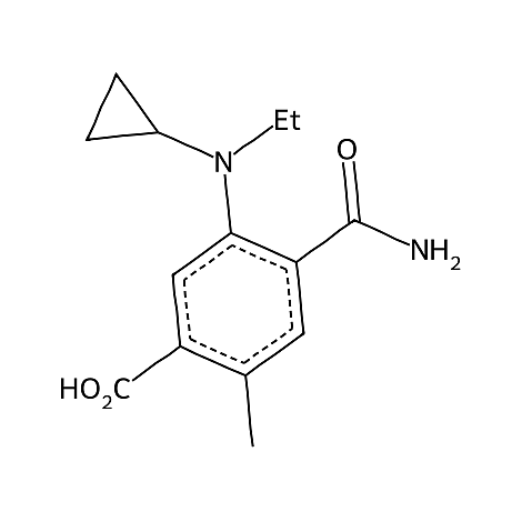 CCN(c1cc(C(=O)O)c(C)cc1C(N)=O)C1CC1